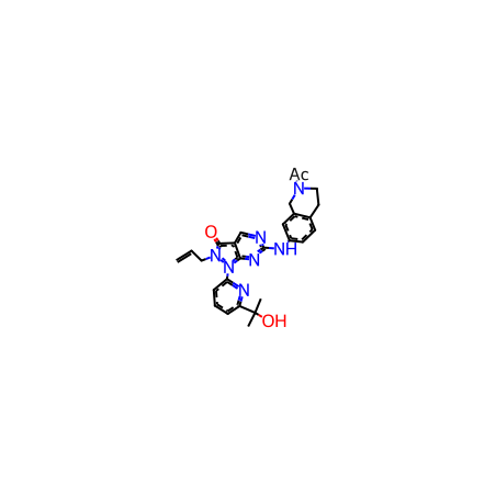 C=CCn1c(=O)c2cnc(Nc3ccc4c(c3)CN(C(C)=O)CC4)nc2n1-c1cccc(C(C)(C)O)n1